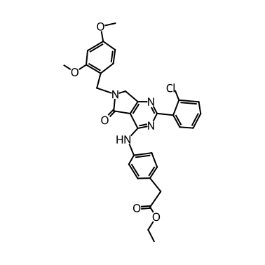 CCOC(=O)Cc1ccc(Nc2nc(-c3ccccc3Cl)nc3c2C(=O)N(Cc2ccc(OC)cc2OC)C3)cc1